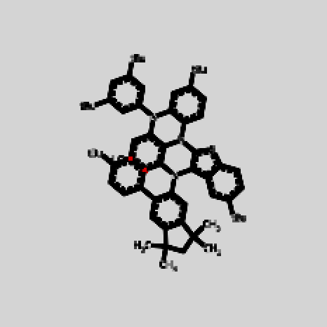 Cc1cc2c3c(c1)N(c1cc4c(cc1-c1ccc(C(C)(C)C)cc1)C(C)(C)CC4(C)C)c1c(sc4ccc(C(C)(C)C)cc14)B3c1ccc(C(C)(C)C)cc1N2c1cc(C(C)(C)C)cc(C(C)(C)C)c1